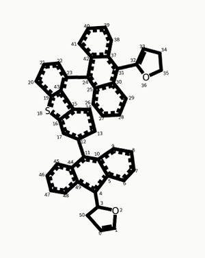 C1=COC(c2c3ccccc3c(-c3ccc4c(c3)sc3cccc(-c5c6ccccc6c(C6=CCCO6)c6ccccc56)c34)c3ccccc23)C1